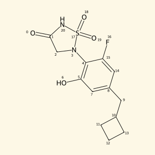 O=C1CN(c2c(O)cc(CC3CCC3)cc2F)S(=O)(=O)N1